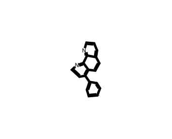 [c]1ccc(-c2ccnc3c2ccc2cccnc23)cc1